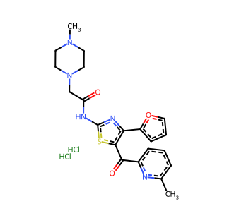 Cc1cccc(C(=O)c2sc(NC(=O)CN3CCN(C)CC3)nc2-c2ccco2)n1.Cl.Cl